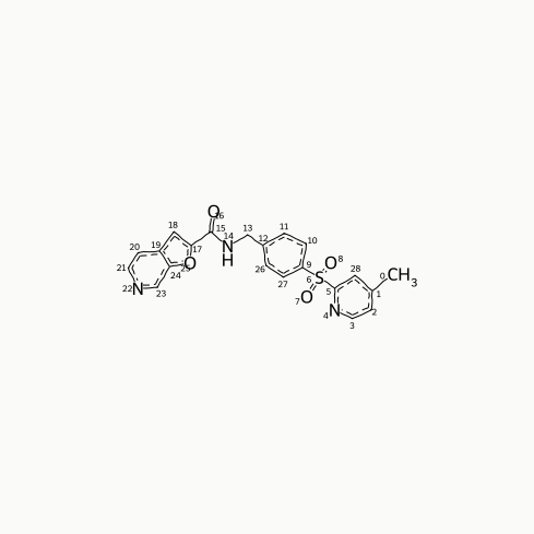 Cc1ccnc(S(=O)(=O)c2ccc(CNC(=O)c3cc4ccncc4o3)cc2)c1